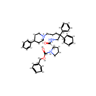 O=C(NCC(CCCN1CCC(c2ccccc2)CC1)(c1ccccc1)c1ccccc1)[C@@H]1CCCN1C(=O)OCc1ccccc1